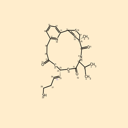 CC(C)C1NC(=O)[C@]2(C)CSC(=N2)c2cccc(n2)CCC(=O)C[C@@H](/C=C/CCS)OC1=O